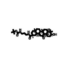 CC(C)(C)OC(=O)NCCCNC(=O)[C@@]1(C)CC[C@]2(C)CCC3C(=CC(=O)[C@@H]4[C@@]5(C)CC[C@H](O)C(C)(C)[C@@H]5CC[C@@]34C)[C@@H]2C1